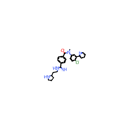 CN(C(=O)c1ccc(C(=N)NCCC2CCCN2)cc1)c1ccc(Cl)c(-c2ccccn2)c1